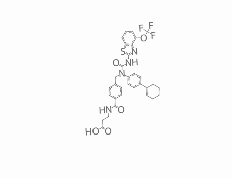 O=C(O)CCNC(=O)c1ccc(CN(C(=O)Nc2nc3c(OC(F)(F)F)cccc3s2)c2ccc(C3=CCCCC3)cc2)cc1